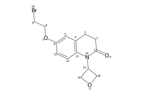 O=C1CCc2cc(OCCBr)ccc2N1C1COC1